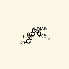 COc1cc(C(F)(F)F)ccc1-c1nccc2cc(S(=O)(=O)Nc3cc(Cl)ncn3)ccc12